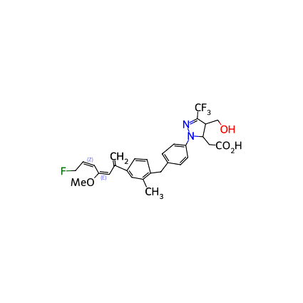 C=C(/C=C(\C=C/CF)OC)c1ccc(Cc2ccc(N3N=C(C(F)(F)F)C(CO)C3CC(=O)O)cc2)c(C)c1